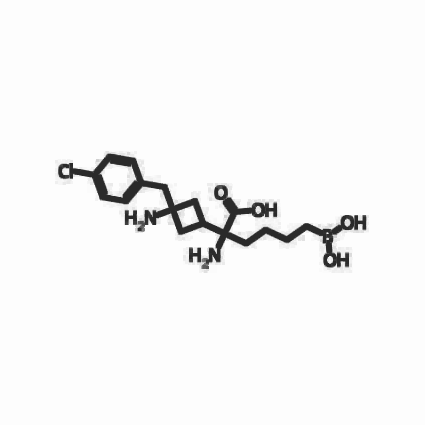 NC1(Cc2ccc(Cl)cc2)CC(C(N)(CCCCB(O)O)C(=O)O)C1